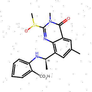 Cc1cc([C@@H](C)Nc2ccccc2C(=O)O)c2nc([S+](C)[O-])n(C)c(=O)c2c1